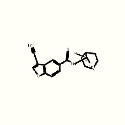 C#Cc1coc2ccc(C(=O)N[C@H]3CN4CCC3CC4)cc12